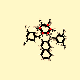 Fc1cc(F)cc(P(c2cc(F)cc(F)c2)c2cc3ccccc3cc2P(c2cc(F)cc(F)c2)c2cc(F)cc(F)c2)c1